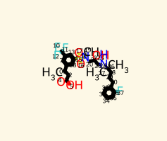 CC(CC(=O)O)c1cc(C(F)(F)F)cc(S(=O)(=O)N(C)C[C@H](O)CNC(C)(C)CCCc2ccccc2F)c1